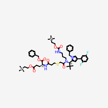 CC(C)(C)[C@H](c1cc(-c2cc(F)ccc2F)cn1Cc1ccccc1)N(CCCNC(=O)OCC[Si](C)(C)C)C(=O)CSCCC(=O)N[C@@H](CCC(=O)OCC[Si](C)(C)C)C(=O)OCc1ccccc1